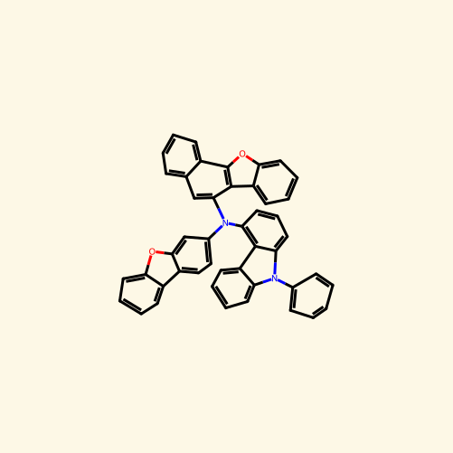 c1ccc(-n2c3ccccc3c3c(N(c4ccc5c(c4)oc4ccccc45)c4cc5ccccc5c5oc6ccccc6c45)cccc32)cc1